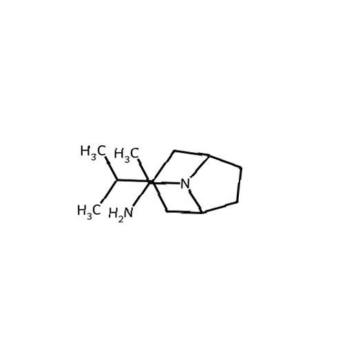 CC(C)C1CC2CCC(C1)N2C(C)N